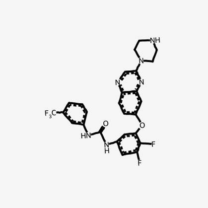 O=C(Nc1cccc(C(F)(F)F)c1)Nc1cc(F)c(F)c(Oc2ccc3ncc(N4CCNCC4)nc3c2)c1